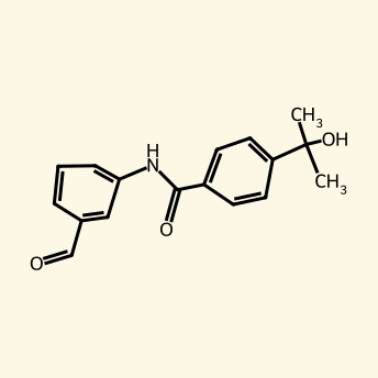 CC(C)(O)c1ccc(C(=O)Nc2cccc(C=O)c2)cc1